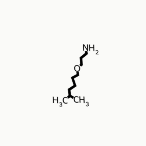 CC(C)CCCCOCCCN